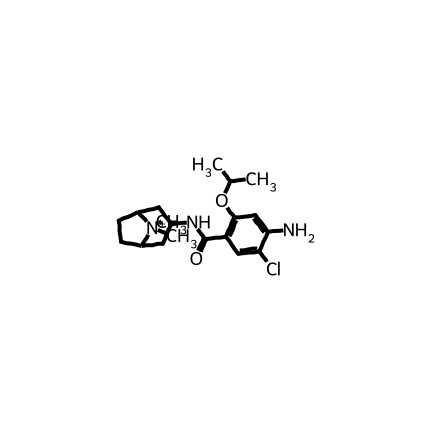 CC(C)Oc1cc(N)c(Cl)cc1C(=O)NC1CC2CCC(C1)[N+]2(C)C